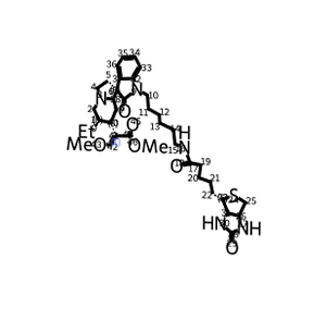 CC[C@H]1CN2CC[C@]3(C(=O)N(CCCCCCNC(=O)CCCC[C@@H]4SCC5NC(=O)NC54)c4ccccc43)C2C[C@@H]1/C(=C\OC)C(=O)OC